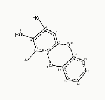 Cc1c(O)c(O)cc2c1Oc1ccccc1O2